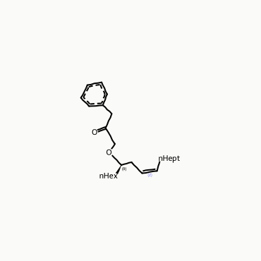 CCCCCCC/C=C\C[C@@H](CCCCCC)OCC(=O)Cc1ccccc1